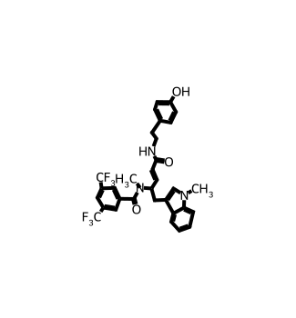 CN(C(=O)c1cc(C(F)(F)F)cc(C(F)(F)F)c1)C(C=CC(=O)NCCc1ccc(O)cc1)Cc1cn(C)c2ccccc12